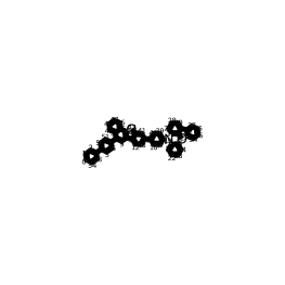 c1ccc(-c2ccc(-c3cc4c5ccc(-c6ccc(N(c7ccccc7)c7cccc8c7oc7ccccc78)cc6)cc5oc4c4ccccc34)cc2)cc1